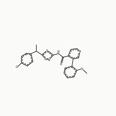 COc1ccccc1-c1cnccc1C(=O)Nc1nnc(C(C)c2ccc(Cl)cc2)s1